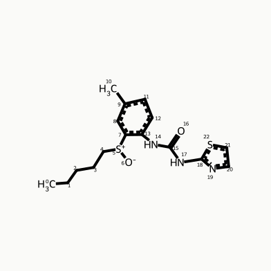 CCCCC[S+]([O-])c1cc(C)ccc1NC(=O)Nc1nccs1